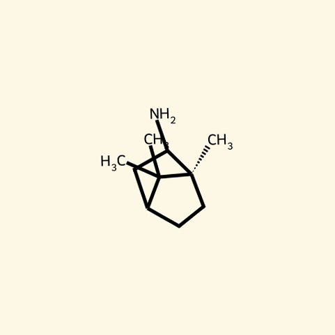 CC1(C)C2CC[C@]1(C)C(N)C2